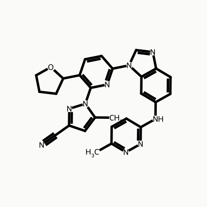 Cc1ccc(Nc2ccc3ncn(-c4ccc(C5CCCO5)c(-n5nc(C#N)cc5C)n4)c3c2)nn1